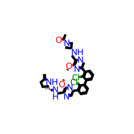 C=C1CC[C@@H](CNCc2ncc(-c3cccc(-c4cccc(-c5cnc(CNC6CN(C(C)=O)C6)c(OC)n5)c4Cl)c3Cl)nc2OC)N1